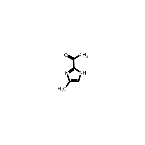 [CH2]c1c[nH]c(C(C)=O)n1